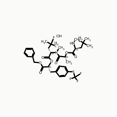 CN[C@@H](CC(C)(C)C)C(=O)O[C@H](C)C(=O)N(C)[C@@H](CC(C)(C)F)C(=O)O[C@H](Cc1ccc(SC(F)(F)F)cc1)C(=O)OCc1ccccc1.Cl